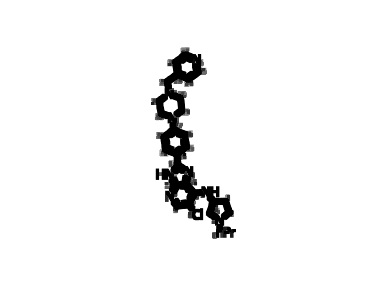 CCCN1CCC(Nc2c(Cl)cnc3[nH]c(-c4ccc(N5CCN(Cc6ccncc6)CC5)cc4)nc23)C1